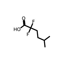 CC(C)CCC(F)(F)C(=O)O